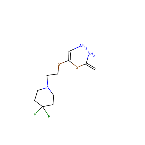 C=C(N)S/C(=C\N)SCCN1CCC(F)(F)CC1